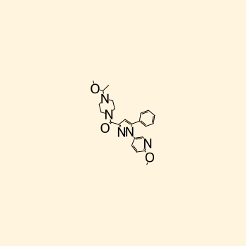 COc1ccc(-n2nc(C(=O)N3CCN(C(C)OC)CC3)cc2-c2ccccc2)cn1